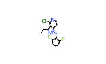 CCc1nn(Cc2c(F)cccc2F)c2ccnc(Cl)c12